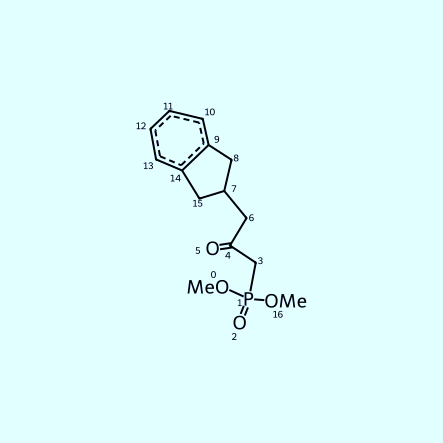 COP(=O)(CC(=O)CC1Cc2ccccc2C1)OC